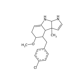 COC1CC=C2NC3NC=CC3(C)C2C1Cc1ccc(Cl)cc1